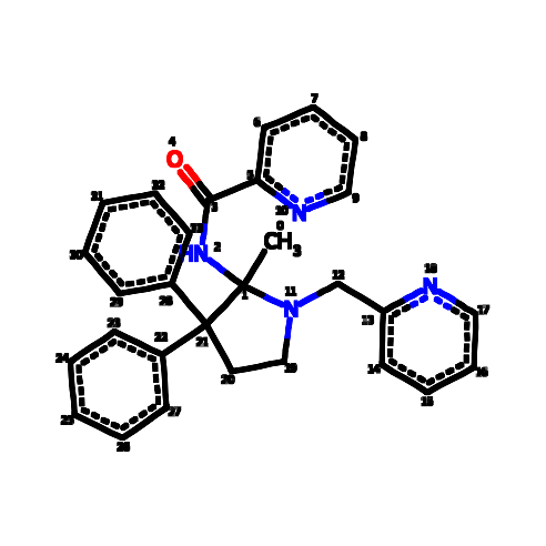 CC1(NC(=O)c2ccccn2)N(Cc2ccccn2)CCC1(c1ccccc1)c1ccccc1